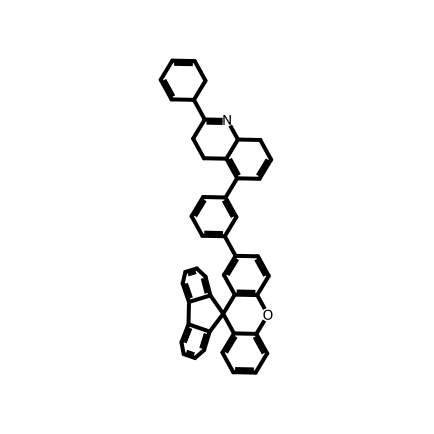 C1=CCC(C2=NC3CC=CC(c4cccc(-c5ccc6c(c5)C5(c7ccccc7O6)c6ccccc6-c6ccccc65)c4)=C3CC2)C=C1